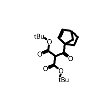 CC(C)(C)OC(=O)C(C(=O)OC(C)(C)C)C(=O)C12C=CC(CC1)C2